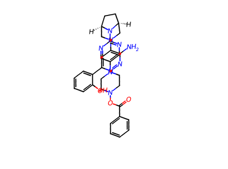 Nc1nnc(-c2ccccc2O)cc1N1C[C@H]2CC[C@@H](C1)N2c1ncc(N2CCN(OC(=O)c3ccccc3)CC2)cn1